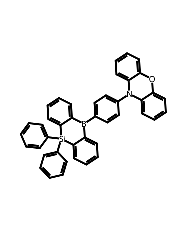 c1ccc([Si]2(c3ccccc3)c3ccccc3B(c3ccc(N4c5ccccc5Oc5ccccc54)cc3)c3ccccc32)cc1